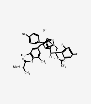 CN[C@@H](C)C(=O)Oc1c(C)cc(C[n+]2cnn(C[C@](OC(=O)C(F)(F)F)(c3ccc(F)cc3F)[C@@H](C)c3nc(-c4ccc(C#N)cc4)cs3)c2)cc1C.[Br-]